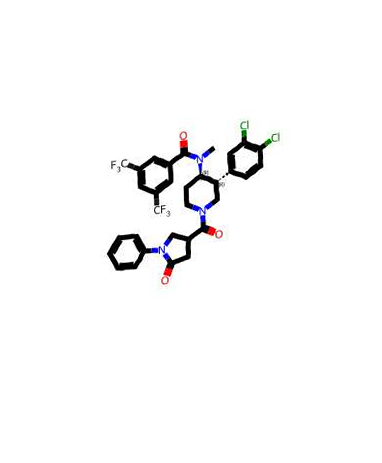 CN(C(=O)c1cc(C(F)(F)F)cc(C(F)(F)F)c1)[C@@H]1CCN(C(=O)C2CC(=O)N(c3ccccc3)C2)C[C@H]1c1ccc(Cl)c(Cl)c1